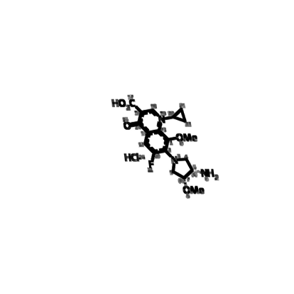 COc1c(N2C[C@H](N)[C@H](OC)C2)c(F)cc2c(=O)c(C(=O)O)cn(C3CC3)c12.Cl